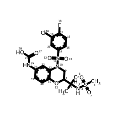 CC(C)(NS(C)(=O)=O)C1CN(S(=O)(=O)c2ccc(F)c(Cl)c2)c2cc(NC(=O)O)ccc2O1